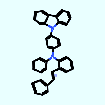 C(=C\c1ccccc1N(c1ccccc1)c1ccc(-n2c3ccccc3c3ccccc32)cc1)/c1ccccc1